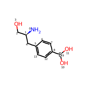 N[C@H](CO)Cc1ccc(B(O)O)cc1